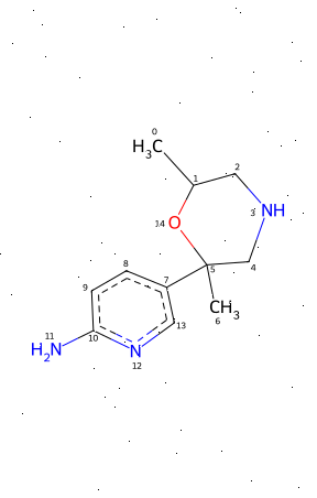 CC1CNCC(C)(c2ccc(N)nc2)O1